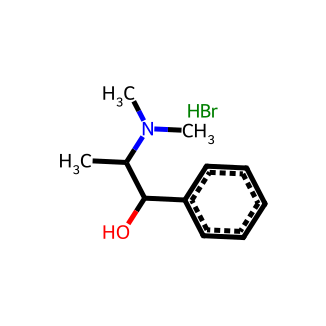 Br.CC(C(O)c1ccccc1)N(C)C